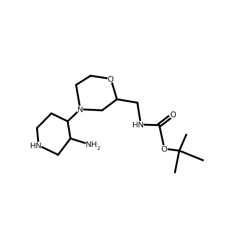 CC(C)(C)OC(=O)NCC1CN(C2CCNCC2N)CCO1